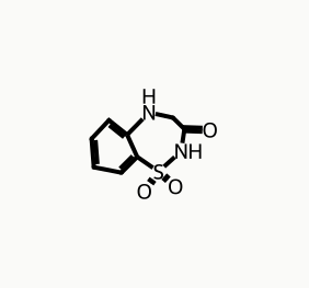 O=C1CNc2ccccc2S(=O)(=O)N1